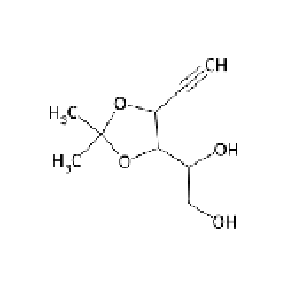 C#CC1OC(C)(C)OC1C(O)CO